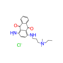 CCC[N+](C)(C)CCCNc1ccc(NC)c2c1C(=O)c1ccccc1C2=O.[Cl-]